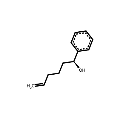 C=CCCC[C@H](O)c1ccccc1